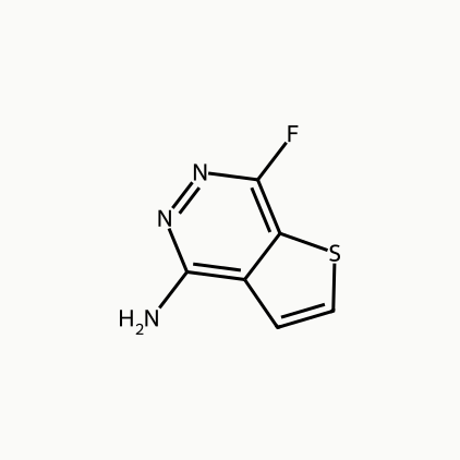 Nc1nnc(F)c2sccc12